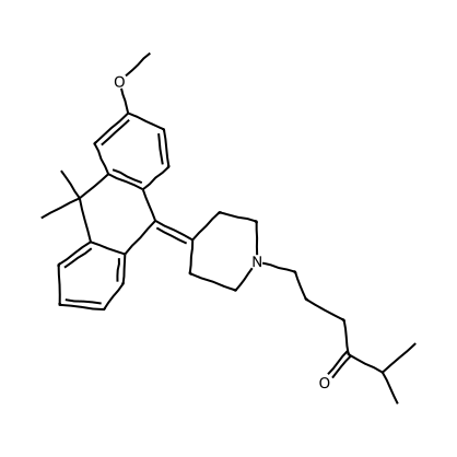 COc1ccc2c(c1)C(C)(C)c1ccccc1C2=C1CCN(CCCC(=O)C(C)C)CC1